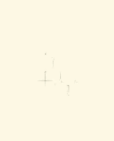 CCC(C)(C)NC(CNC(=N)N)C(=O)C(C)(C)CC